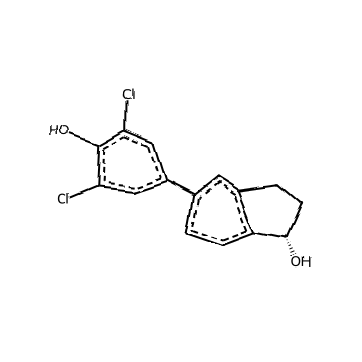 Oc1c(Cl)cc(-c2ccc3c(c2)CC[C@@H]3O)cc1Cl